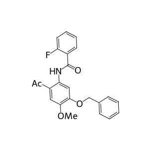 COc1cc(C(C)=O)c(NC(=O)c2ccccc2F)cc1OCc1ccccc1